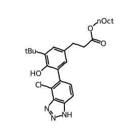 CCCCCCCCOC(=O)CCc1cc(-c2ccc3[nH]nnc3c2Cl)c(O)c(C(C)(C)C)c1